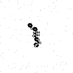 O=C(NC(=S)Nc1cccc(Oc2ccccc2)c1)c1ccc(C(=O)N2CCOCC2)nc1